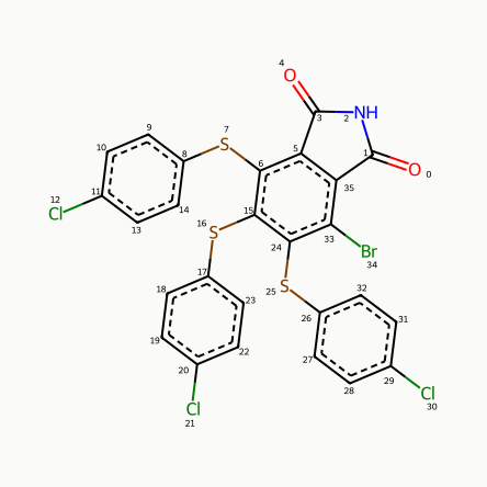 O=C1NC(=O)c2c(Sc3ccc(Cl)cc3)c(Sc3ccc(Cl)cc3)c(Sc3ccc(Cl)cc3)c(Br)c21